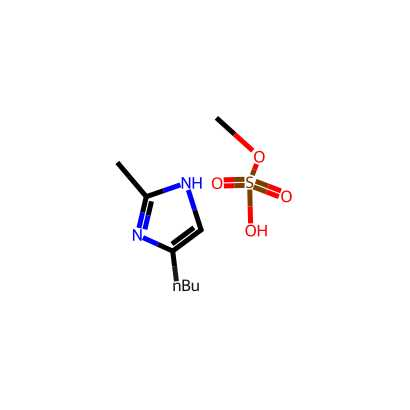 CCCCc1c[nH]c(C)n1.COS(=O)(=O)O